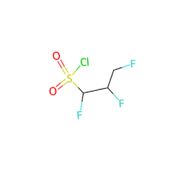 O=S(=O)(Cl)C(F)C(F)CF